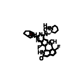 C#Cc1c(F)ccc2cc(=O)[nH]c(-c3ncc4c(N(C)C[C@H]5CCCCN5)nc(N5CC6CCC(C5)N6C)nc4c3F)c12